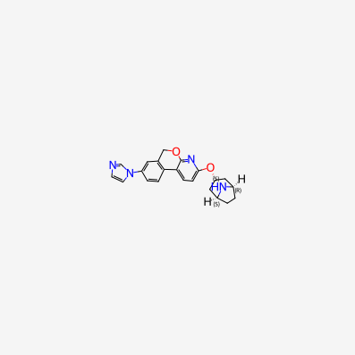 c1cn(-c2ccc3c(c2)COc2nc(O[C@@H]4C[C@H]5CC[C@@H](C4)N5)ccc2-3)cn1